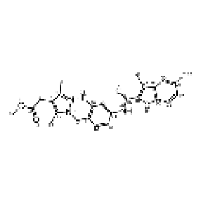 COC(=O)Cc1c(C)nn(Cc2ccc(NC(=O)c3oc4ccc(F)cc4c3C)cc2F)c1C